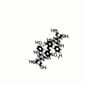 O=S(=O)(O)c1cc(Nc2nc(NC3CCCCC3)nc(N(CCO)CCO)n2)ccc1C=Cc1ccc(Nc2nc(NC3CCCCC3)nc(N(CCO)CCO)n2)cc1S(=O)(=O)O